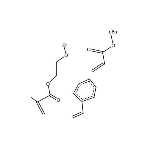 C=C(C)C(=O)OCCOCC.C=CC(=O)OCCCC.C=Cc1ccccc1